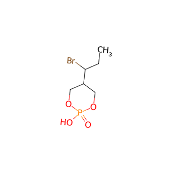 CCC(Br)C1COP(=O)(O)OC1